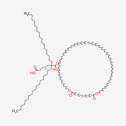 CCCCCCCCCCCCCCCCCCC(CCCCCCCCCCCCCCCCCC)(CSCCC(=O)O)C(=O)O.O=C1CCSCCC(=O)OCCCCCCCCCCCCCCCCCCSCCCCCCCCCCCCCCCCCCO1